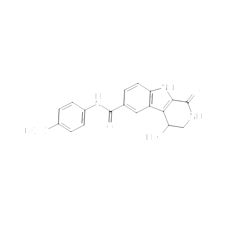 CC1CNC(=O)c2[nH]c3ccc(C(=O)Nc4ccc(C(=O)O)cc4)cc3c21